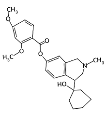 COc1ccc(C(=O)Oc2ccc3c(c2)CN(C)CC3C2(O)CCCCC2)c(OC)c1